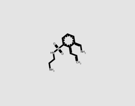 C=C/C=c1/c(S(=O)(=O)NCCN)ccc/c1=C/N